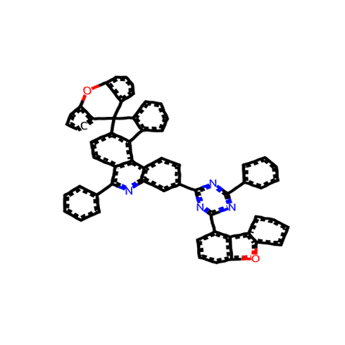 c1ccc(-c2nc(-c3ccc4c(c3)nc(-c3ccccc3)c3ccc5c(c34)-c3ccccc3C53c4ccccc4Oc4ccccc43)nc(-c3cccc4oc5ccccc5c34)n2)cc1